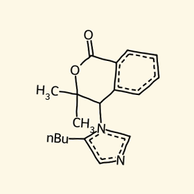 CCCCc1cncn1C1c2ccccc2C(=O)OC1(C)C